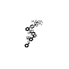 COc1cc(-c2cnn3ccc(C(=O)Nc4ccccc4N4CCN(C(=O)OC(C)(C)C)CC4)nc23)ccc1OCc1ccccc1